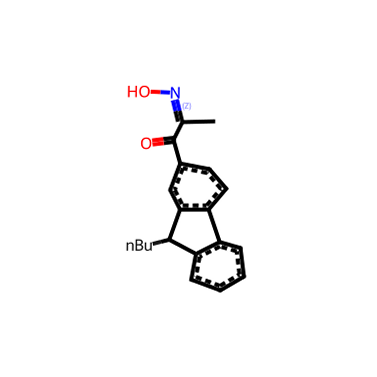 CCCCC1c2ccccc2-c2ccc(C(=O)/C(C)=N\O)cc21